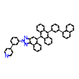 c1cc(-c2cccc3ccccc23)cc(-c2c3ccccc3c(-c3cc4nn(-c5cccc(-c6ccncc6)c5)nc4c4ccccc34)c3ccccc23)c1